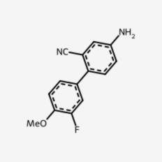 COc1ccc(-c2ccc(N)cc2C#N)cc1F